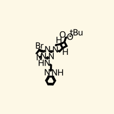 CC(C)(C)OC(=O)C1C[C@@H]2CN(c3nc(NCc4nc5ccccc5[nH]4)n4ncc(Br)c4n3)C[C@H]12